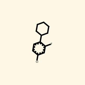 Fc1cc(Cl)ccc1C1C[CH]CCC1